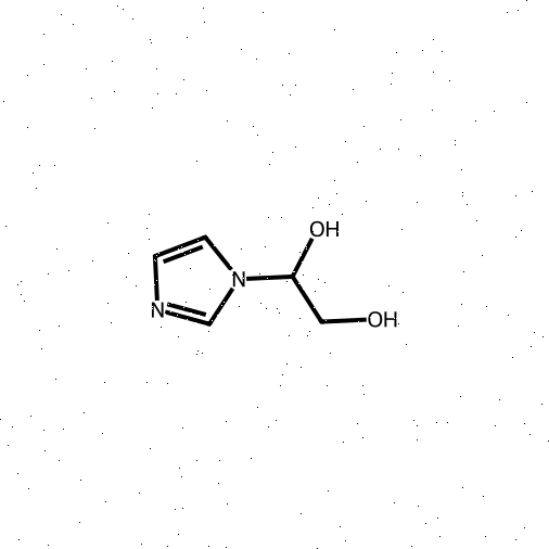 OCC(O)n1ccnc1